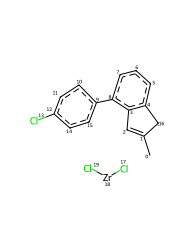 CC1=Cc2c(cccc2-c2ccc(Cl)cc2)[CH]1.[Cl][Zr][Cl]